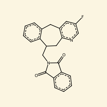 O=C1c2ccccc2C(=O)N1CC1Cc2ncc(F)cc2Cc2ccccc21